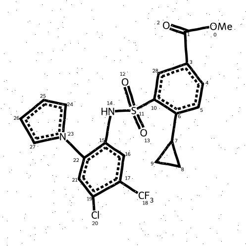 COC(=O)c1ccc(C2CC2)c(S(=O)(=O)Nc2cc(C(F)(F)F)c(Cl)cc2-n2cccc2)c1